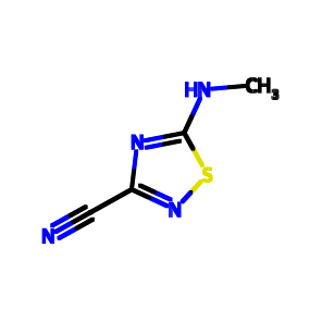 CNc1nc(C#N)ns1